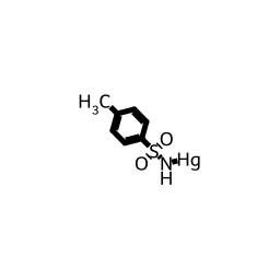 Cc1ccc(S(=O)(=O)[NH][Hg])cc1